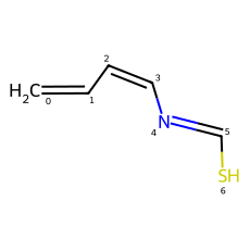 C=C/C=C\N=C\S